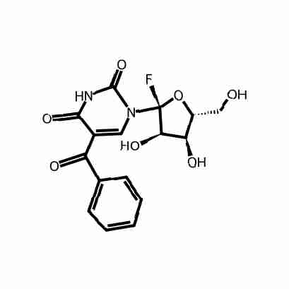 O=C(c1ccccc1)c1cn([C@]2(F)O[C@H](CO)[C@@H](O)[C@H]2O)c(=O)[nH]c1=O